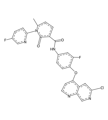 Cc1ccc(C(=O)Nc2ccc(Oc3ccnc4cnc(Cl)cc34)c(F)c2)c(=O)n1-c1ccc(F)cn1